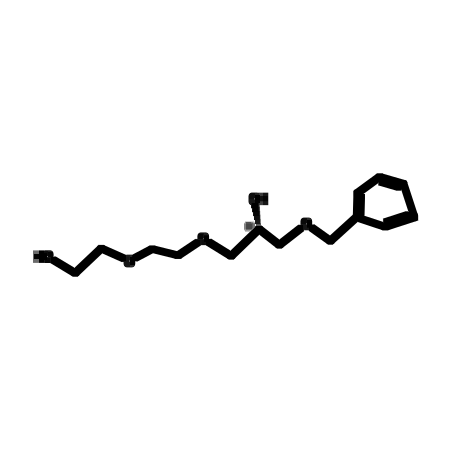 OCCOCCOC[C@H](O)COCc1ccccc1